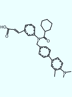 Cc1cc(-c2ccc(CN(C(=O)C3CCCCC3)c3cccc(C=CC(=O)O)c3)cc2)ccc1N(C)C